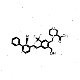 N#Cc1c(/C=C/c2cc(CO)c(CN3CCOCC3C(=O)O)cc2C(F)(F)F)cccc1-c1ccccc1